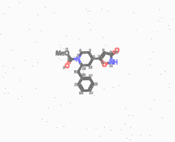 COC(=O)N1CC[C@@H](c2cc(=O)[nH]o2)C[C@H]1Cc1ccccc1